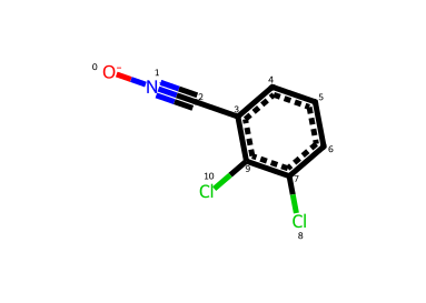 [O-][N+]#Cc1cccc(Cl)c1Cl